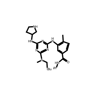 Cc1ccc(C(=O)NC(C)C)cc1Nc1nc(NC2CCNC2)nc(N(C)CC(C)(C)C)n1